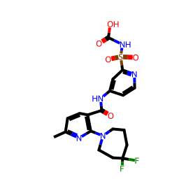 Cc1ccc(C(=O)Nc2ccnc(S(=O)(=O)NC(=O)O)c2)c(N2CCCC(F)(F)CC2)n1